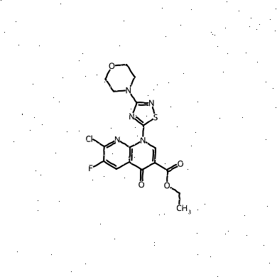 CCOC(=O)c1cn(-c2nc(N3CCOCC3)ns2)c2nc(Cl)c(F)cc2c1=O